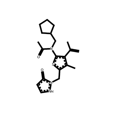 C=C(C)c1c(N(CC2CCCC2)C(C)=O)sc(Cn2[nH]ccc2=O)c1C